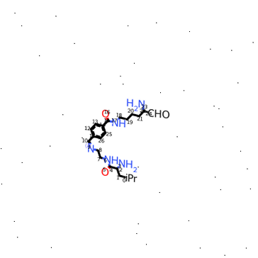 CC(C)CC(N)C(=O)NCC/N=C\c1ccc(C(=O)NCCCCC(N)C=O)cc1